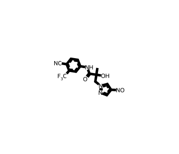 CC(O)(Cn1cc(N=O)cn1)C(=O)Nc1ccc(C#N)c(C(F)(F)F)c1